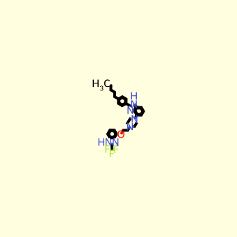 CCCCCc1ccc(-c2nc3c(N4CCN(CCOc5cccc6[nH]c(C(F)(F)F)nc56)CC4)cccc3[nH]2)cc1